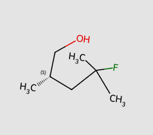 C[C@H](CO)CC(C)(C)F